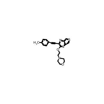 Cc1ccc(C#Cc2nc3cscc3nc2OCCN2CCOCC2)cc1